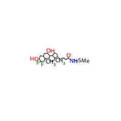 CSCCNC(=O)CCCC1CCC2C3C(O)CC4CC(O)C(F)(F)CC4(C)C3CCC12C